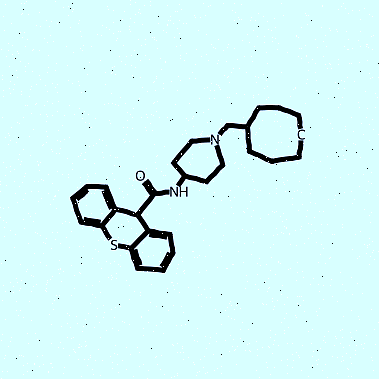 O=C(NC1CCN(CC2CCCCCCC2)CC1)C1c2ccccc2Sc2ccccc21